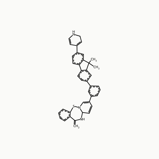 C=C1NC2C=CC(c3cccc(-c4ccc5c(c4)C(C)(C)c4cc(C6=CCNC=C6)ccc4-5)c3)=CN2Sc2ccccc21